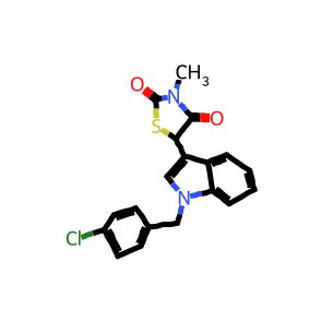 CN1C(=O)SC(c2cn(Cc3ccc(Cl)cc3)c3ccccc23)C1=O